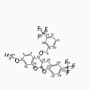 COc1ccc2c(OCc3cccc(C(F)(F)F)c3)c(Cc3cccc(C(F)(F)F)c3)c(=O)oc2c1